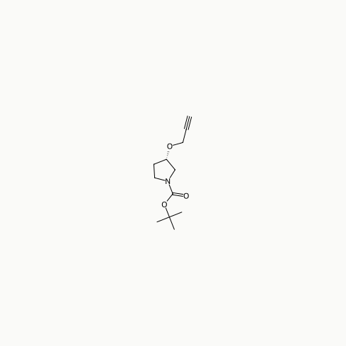 C#CCO[C@H]1CCN(C(=O)OC(C)(C)C)C1